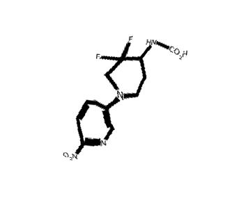 O=C(O)NC1CCN(c2ccc([N+](=O)[O-])nc2)CC1(F)F